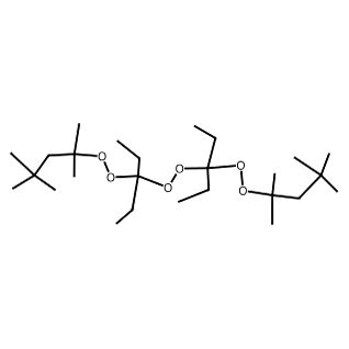 CCC(CC)(OOC(C)(C)CC(C)(C)C)OOC(CC)(CC)OOC(C)(C)CC(C)(C)C